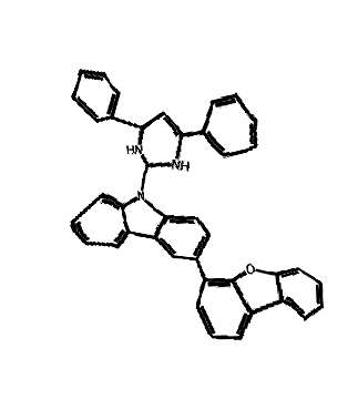 C1=C(c2ccccc2)NC(n2c3ccccc3c3cc(-c4cccc5c4oc4ccccc45)ccc32)NC1c1ccccc1